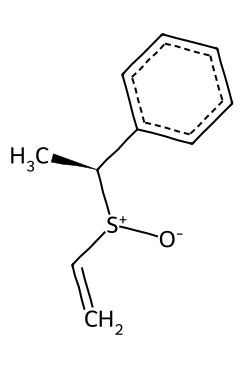 C=C[S+]([O-])[C@@H](C)c1ccccc1